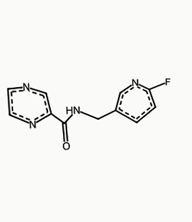 O=C(NCc1ccc(F)nc1)c1cnccn1